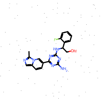 Cc1ncc2ccc(-c3nc(N)nc(NC(CO)c4ccccc4F)n3)cn12